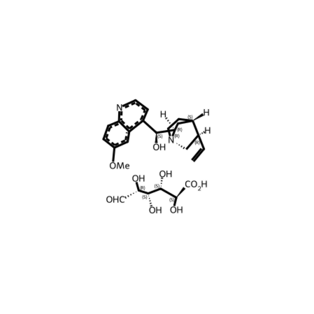 C=C[C@H]1C[N@]2CC[C@H]1C[C@@H]2[C@@H](O)c1ccnc2ccc(OC)cc12.O=C[C@H](O)[C@@H](O)[C@H](O)[C@H](O)C(=O)O